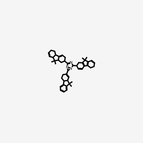 CC1(C)C2=C(CCC=C2)C2=C1CC(C1N=C(C3CC=C4C5CCC=CC5C(C)(C)C4C3)N3C(C4=CC5C(CC4)c4ccccc4C5(C)C)N13)C=C2